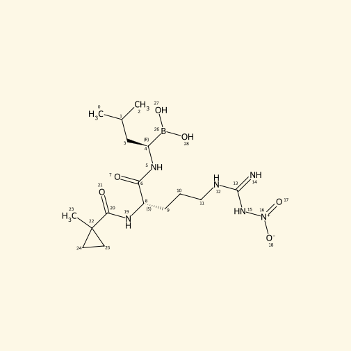 CC(C)C[C@H](NC(=O)[C@H](CCCNC(=N)N[N+](=O)[O-])NC(=O)C1(C)CC1)B(O)O